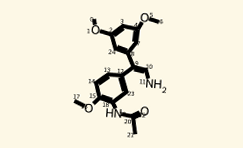 COc1cc(OC)cc(C(=CN)c2ccc(OC)c(NC(C)=O)c2)c1